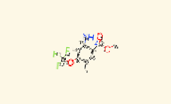 COC(=O)c1cc(C)c(OC(F)(F)F)cc1N